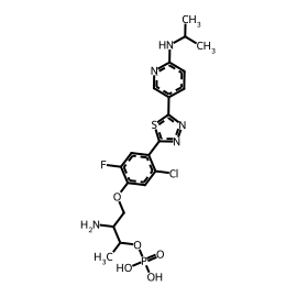 CC(C)Nc1ccc(-c2nnc(-c3cc(F)c(OCC(N)C(C)OP(=O)(O)O)cc3Cl)s2)cn1